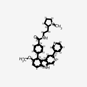 COc1ccc2[nH]c3cnc(-c4cccnc4)cc3c2c1-c1ccc(C(=O)NCCC2CCCN2C)cc1